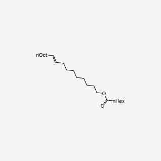 CCCCCCCCC=CCCCCCCCCOC(=O)CCCCCC